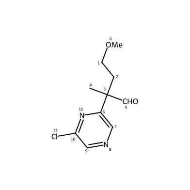 COCCC(C)(C=O)c1cncc(Cl)n1